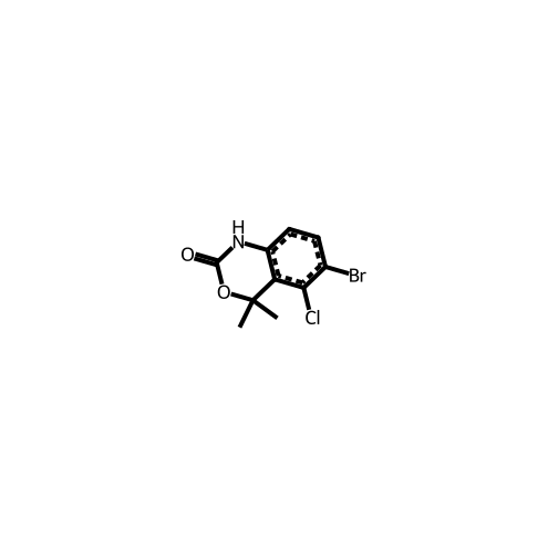 CC1(C)OC(=O)Nc2ccc(Br)c(Cl)c21